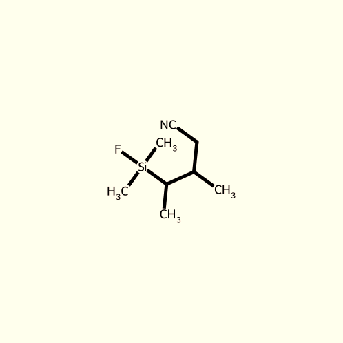 CC(CC#N)C(C)[Si](C)(C)F